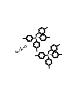 CC(=O)[O-].CC(=O)[O-].Cc1ccc(C[P+](c2ccc(C)cc2)(c2ccc(C)cc2)c2ccc(C)cc2)cc1.Cc1ccc(C[P+](c2ccc(C)cc2)(c2ccc(C)cc2)c2ccc(C)cc2)cc1